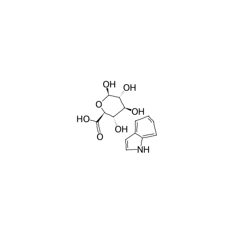 O=C(O)[C@H]1O[C@@H](O)[C@H](O)[C@@H](O)[C@@H]1O.c1ccc2[nH]ccc2c1